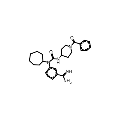 N=C(N)c1cccc(N(C(=O)NC2CCN(C(=O)c3ccccc3)CC2)C2CCCCCC2)c1